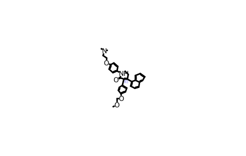 CC/C(=C(\C(=O)Nc1ccc(OCCN(C)C)cc1)c1ccc(OCOC)cc1)c1cccc2ccccc12